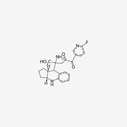 NC(CC(=O)C(=O)c1ccc(F)nc1)(C(=O)O)C1c2ccccc2N[C@@H]2CCC[C@H]12